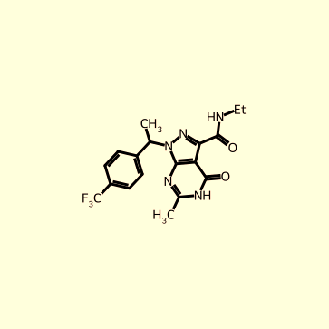 CCNC(=O)c1nn(C(C)c2ccc(C(F)(F)F)cc2)c2nc(C)[nH]c(=O)c12